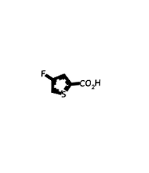 O=C(O)c1cc(F)cs1